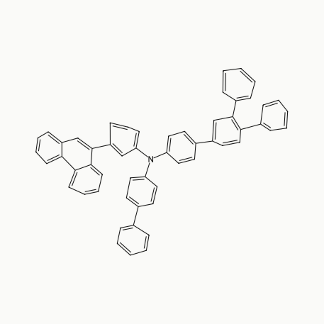 c1ccc(-c2ccc(N(c3ccc(-c4ccc(-c5ccccc5)c(-c5ccccc5)c4)cc3)c3cccc(-c4cc5ccccc5c5ccccc45)c3)cc2)cc1